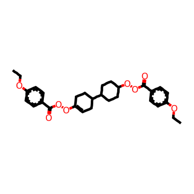 CCOc1ccc(C(=O)OOC2=CCC(C3CCC(OOC(=O)c4ccc(OCC)cc4)CC3)CC2)cc1